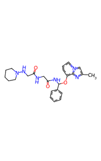 Cc1cn2cccc(OC(NC(=O)CNC(=O)CNN3CCCCC3)c3ccccc3)c2n1